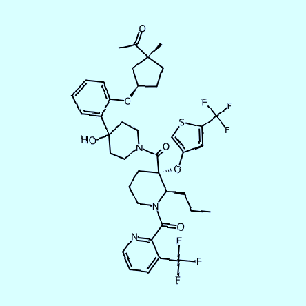 CCC[C@H]1N(C(=O)c2ncccc2C(F)(F)F)CCC[C@@]1(Oc1csc(C(F)(F)F)c1)C(=O)N1CCC(O)(c2ccccc2O[C@@H]2CC[C@@](C)(C(C)=O)C2)CC1